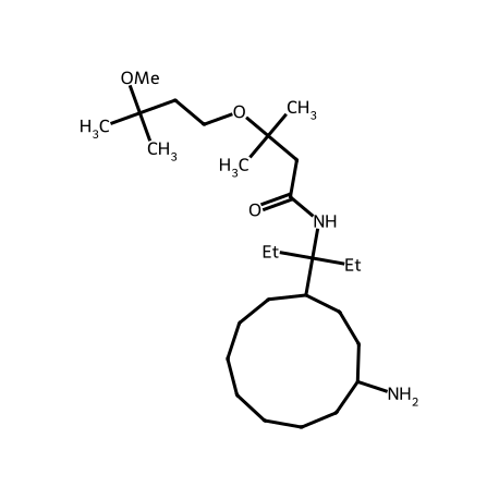 CCC(CC)(NC(=O)CC(C)(C)OCCC(C)(C)OC)C1CCCCCCCC(N)CC1